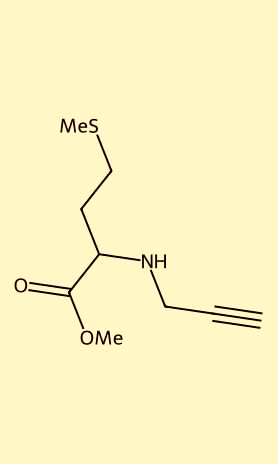 C#CCNC(CCSC)C(=O)OC